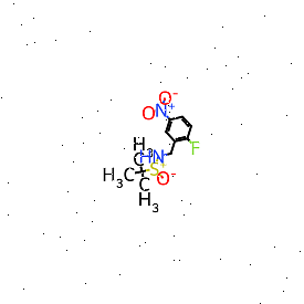 CC(C)(C)[S+]([O-])NCc1cc([N+](=O)[O-])ccc1F